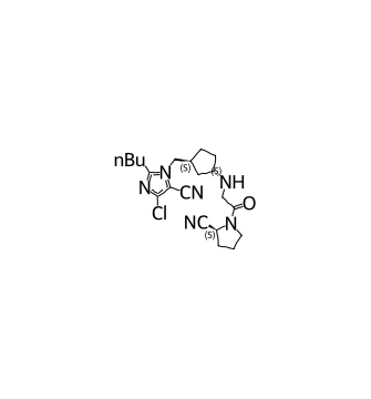 CCCCc1nc(Cl)c(C#N)n1C[C@H]1CC[C@H](NCC(=O)N2CCC[C@H]2C#N)C1